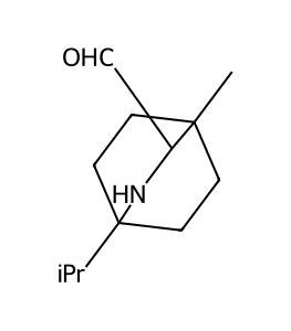 CC(C)C12CCC(C)(CC1)C(C=O)N2